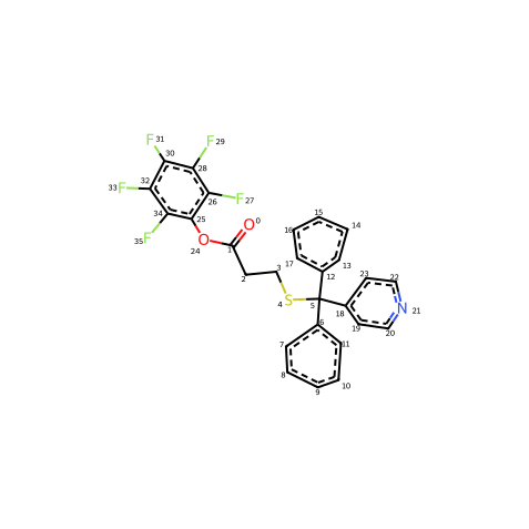 O=C(CCSC(c1ccccc1)(c1ccccc1)c1ccncc1)Oc1c(F)c(F)c(F)c(F)c1F